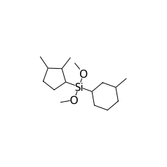 CO[Si](OC)(C1CCCC(C)C1)C1CCC(C)C1C